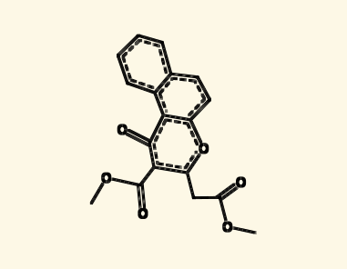 COC(=O)Cc1oc2ccc3ccccc3c2c(=O)c1C(=O)OC